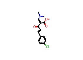 COC(=O)C(=CN(C)C)C(=O)C=Cc1ccc(Cl)cc1